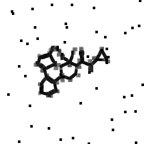 Cc1cnc(-c2ccncc2N2CCC(C(=O)NC3CC3)C(F)(F)C2)s1